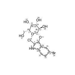 OC[C@H]1O[C@@H](Oc2c(Cl)[nH]c3ccc(Br)cc23)[C@H](O)[C@@H](O)[C@H]1O